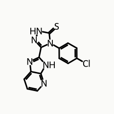 S=c1[nH]nc(-c2nc3cccnc3[nH]2)n1-c1ccc(Cl)cc1